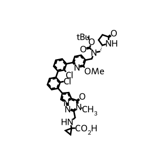 COc1nc(-c2cccc(-c3cccc(-c4cc5c(=O)n(C)c(CNC6(C(=O)O)CC6)nn5c4)c3Cl)c2Cl)ccc1CN(C[C@@H]1CCC(=O)N1)C(=O)OC(C)(C)C